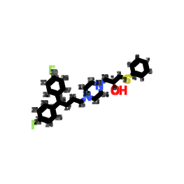 O[C@@H](CSc1ccccc1)CN1CCN(CCCC(c2ccc(F)cc2)c2ccc(F)cc2)CC1